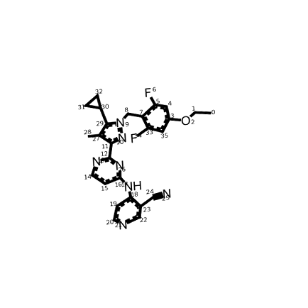 CCOc1cc(F)c(Cn2nc(-c3nccc(Nc4ccncc4C#N)n3)c(C)c2C2CC2)c(F)c1